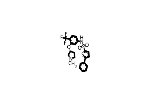 CN1CC[C@@H](Oc2cc(NS(=O)(=O)c3ccc(-c4ccccc4)s3)ccc2C(F)(F)F)C1